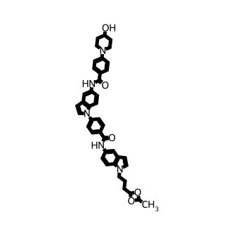 CC1OC(CCCn2ccc3cc(NC(=O)c4ccc(-n5ccc6cc(NC(=O)c7ccc(N8CCC(O)CC8)cc7)ccc65)cc4)ccc32)O1